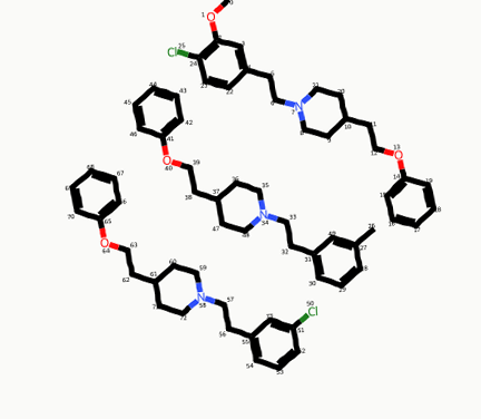 COc1cc(CCN2CCC(CCOc3ccccc3)CC2)ccc1Cl.Cc1cccc(CCN2CCC(CCOc3ccccc3)CC2)c1.Clc1cccc(CCN2CCC(CCOc3ccccc3)CC2)c1